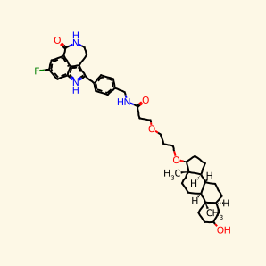 C[C@]12CCC(O)C[C@@H]1CC[C@@H]1[C@@H]2CC[C@]2(C)[C@@H](OCCCOCCC(=O)NCc3ccc(-c4[nH]c5cc(F)cc6c5c4CCNC6=O)cc3)CC[C@@H]12